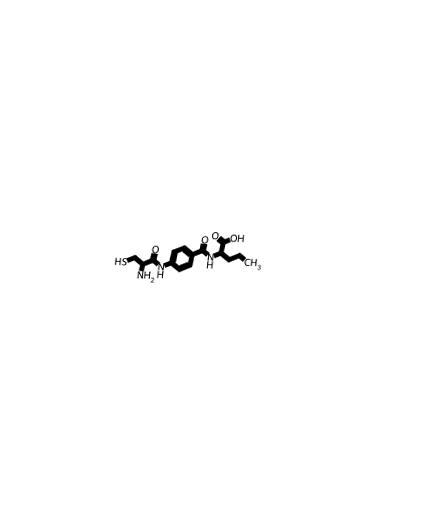 CCCC(NC(=O)c1ccc(NC(=O)C(N)CS)cc1)C(=O)O